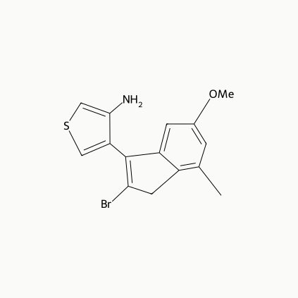 COc1cc(C)c2c(c1)C(c1cscc1N)=C(Br)C2